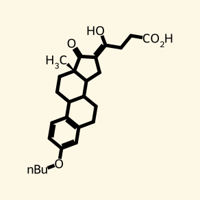 CCCCOc1ccc2c(c1)CCC1C2CC[C@]2(C)C(=O)/C(=C(\O)CCC(=O)O)CC12